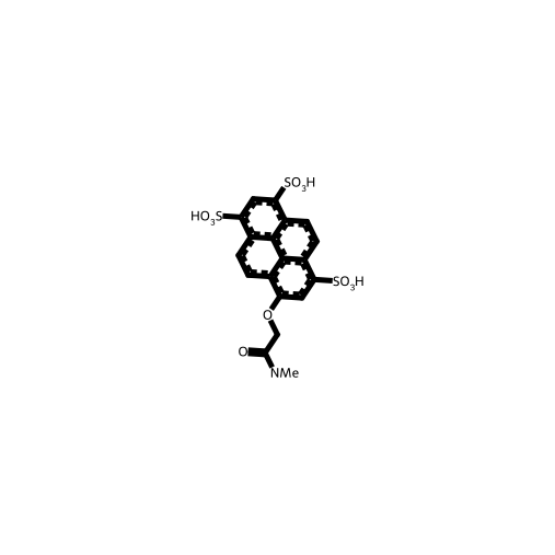 CNC(=O)COc1cc(S(=O)(=O)O)c2ccc3c(S(=O)(=O)O)cc(S(=O)(=O)O)c4ccc1c2c43